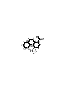 C=C(C)c1cccc2c1ccc1ccccc12.S